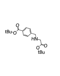 CC(C)(C)OC(=O)CNCc1ccc(C(=O)OC(C)(C)C)cc1